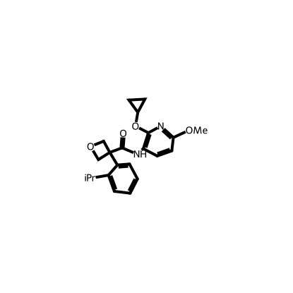 COc1ccc(NC(=O)C2(c3ccccc3C(C)C)COC2)c(OC2CC2)n1